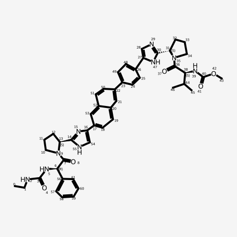 CCNC(=O)N[C@@H](C(=O)N1CCC[C@H]1c1nc(-c2ccc3cc(-c4ccc(-c5cnc([C@@H]6CCCN6C(=O)[C@@H](NC(=O)OC)C(C)C)[nH]5)cc4)ccc3c2)c[nH]1)c1ccccc1